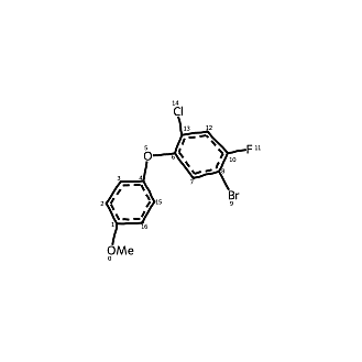 COc1ccc(Oc2cc(Br)c(F)cc2Cl)cc1